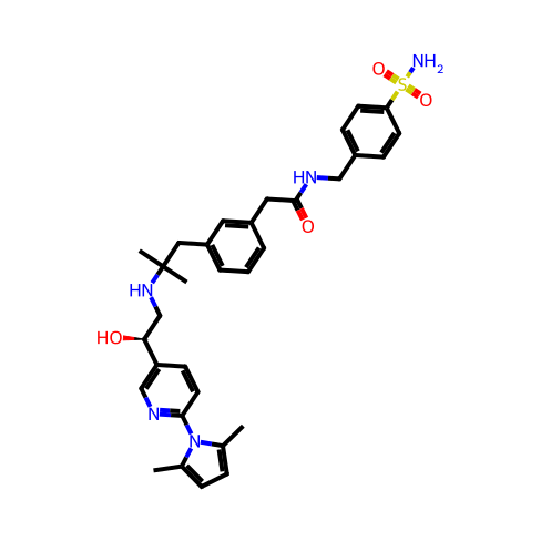 Cc1ccc(C)n1-c1ccc([C@@H](O)CNC(C)(C)Cc2cccc(CC(=O)NCc3ccc(S(N)(=O)=O)cc3)c2)cn1